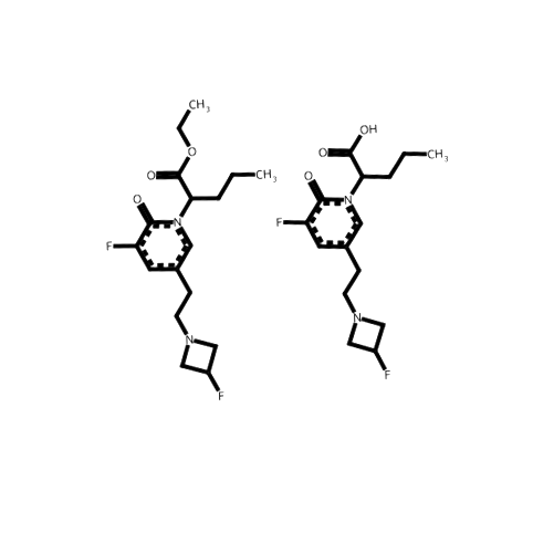 CCCC(C(=O)O)n1cc(CCN2CC(F)C2)cc(F)c1=O.CCCC(C(=O)OCC)n1cc(CCN2CC(F)C2)cc(F)c1=O